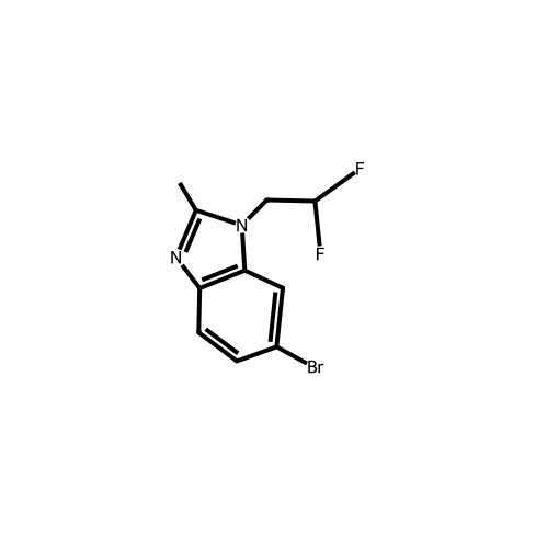 Cc1nc2ccc(Br)cc2n1CC(F)F